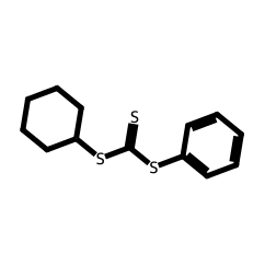 S=C(Sc1ccccc1)SC1CCCCC1